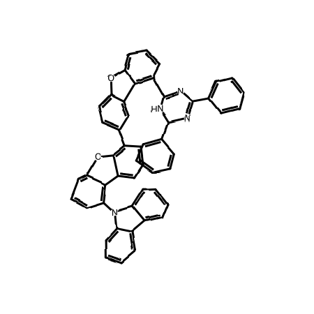 c1ccc(C2=NC(c3ccccc3)NC(c3cccc4oc5ccc(-c6cccc7c6oc6cccc(-n8c9ccccc9c9ccccc98)c67)cc5c34)=N2)cc1